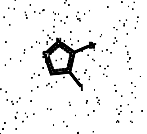 Brc1nscc1I